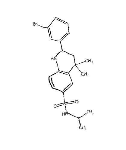 CC(C)NS(=O)(=O)c1ccc2c(c1)C(C)(C)CC(c1cccc(Br)c1)N2